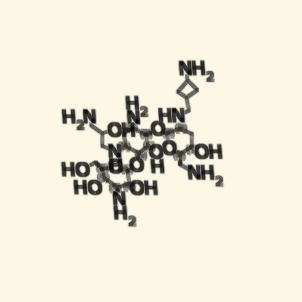 NCC(O)CN[C@@H]1C[C@H](N)[C@@H](O[C@H]2O[C@H](CN)[C@@H](O)C[C@H]2NCC2CC(N)C2)[C@H](O)[C@H]1O[C@H]1O[C@H](CO)[C@@H](O)[C@H](N)[C@H]1O